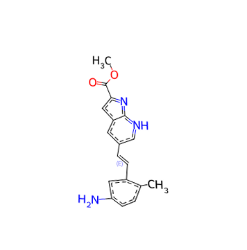 COC(=O)c1cc2cc(/C=C/c3cc(N)ccc3C)c[nH]c-2n1